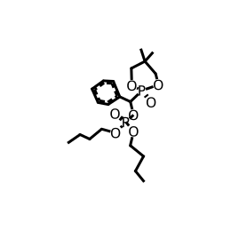 CCCCOP(=O)(OCCCC)OC(c1ccccc1)P1(=O)OCC(C)(C)CO1